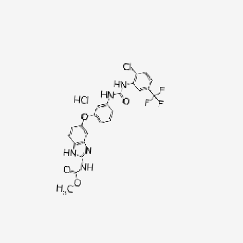 COC(=O)Nc1nc2cc(Oc3cccc(NC(=O)Nc4cc(C(F)(F)F)ccc4Cl)c3)ccc2[nH]1.Cl